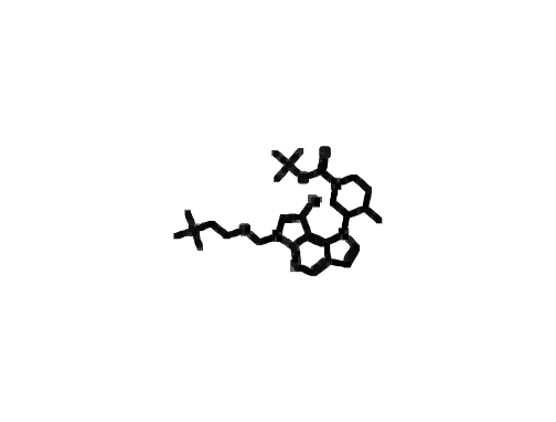 CC1CCN(C(=O)OC(C)(C)C)CC1n1ccc2cnc3c(c(Br)cn3COCC[Si](C)(C)C)c21